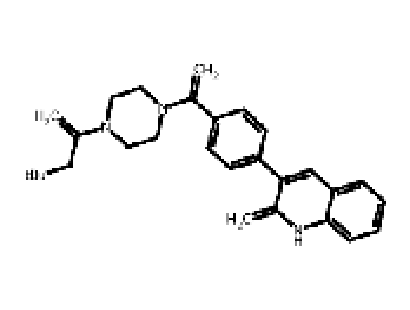 C=C1Nc2ccccc2C=C1c1ccc(C(=C)N2CCN(C(=C)CC(C)(C)C)CC2)cc1